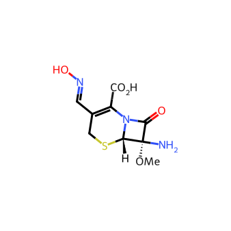 CO[C@@]1(N)C(=O)N2C(C(=O)O)=C(C=NO)CS[C@H]21